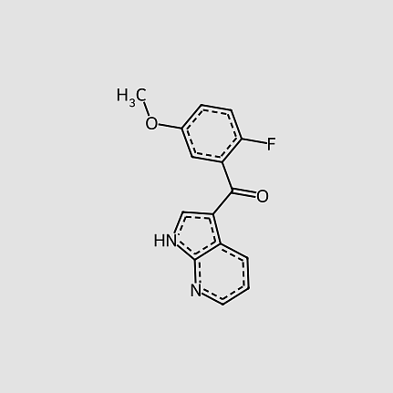 COc1ccc(F)c(C(=O)c2c[nH]c3ncccc23)c1